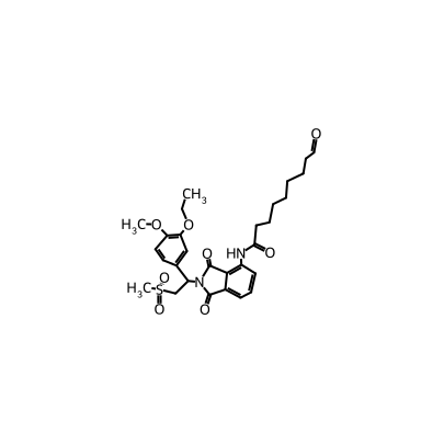 CCOc1cc(C(CS(C)(=O)=O)N2C(=O)c3cccc(NC(=O)CCCCCCCC=O)c3C2=O)ccc1OC